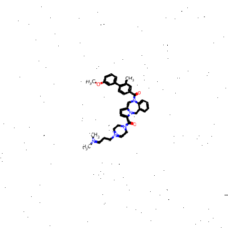 COc1cccc(-c2ccc(C(=O)N3Cc4ccc(C(=O)N5CCN(CCCN(C)C)CC5)n4Cc4ccccc43)cc2C)c1